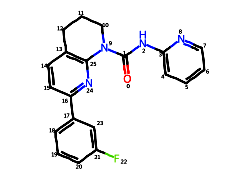 O=C(Nc1ccccn1)N1CCCc2ccc(-c3cccc(F)c3)nc21